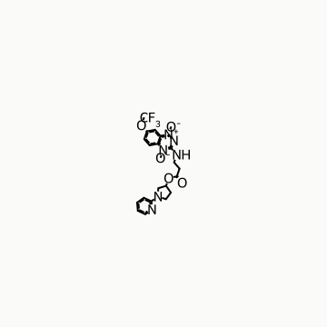 O=C(CCNc1n[n+]([O-])c2cc(OC(F)(F)F)ccc2[n+]1[O-])OC1CCN(c2ccccn2)C1